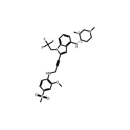 COc1cc(S(C)(=O)=O)ccc1NCC#Cc1cc2c(N[C@H]3CCN(C)C[C@@H]3C)cccc2n1CC(F)(F)F